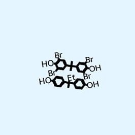 CC(C)(c1cc(Br)c(O)c(Br)c1)c1cc(Br)c(O)c(Br)c1.CCC(C)(c1ccc(O)cc1)c1ccc(O)cc1